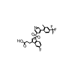 Cc1cc(C(F)(F)F)ccc1-c1cncc(S(=O)(=O)n2cc(CCC(=O)O)c3cc(F)ccc32)c1